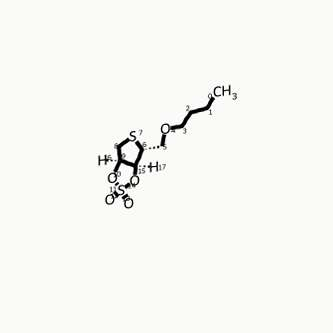 CCCCOC[C@H]1SC[C@@H]2OS(=O)(=O)O[C@@H]21